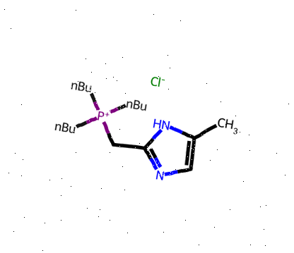 CCCC[P+](CCCC)(CCCC)Cc1ncc(C)[nH]1.[Cl-]